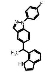 Fc1ccc(-n2ncc3cc([C](c4cccc5cc[nH]c45)C(F)(F)F)ccc32)cc1